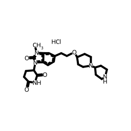 Cl.Cn1c(=O)n(C2CCC(=O)NC2=O)c2ccc(CCOC3CCN(C4CCNCC4)CC3)cc21